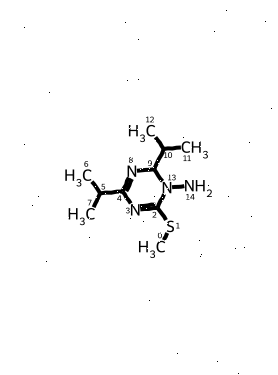 CSC1=NC(C(C)C)=NC(C(C)C)N1N